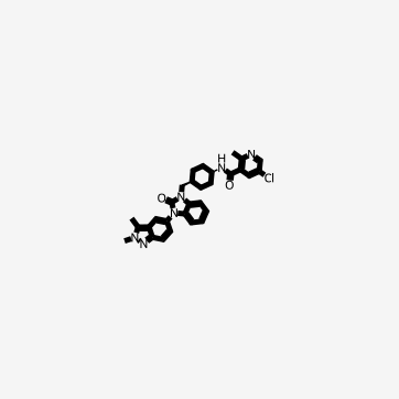 Cc1ncc(Cl)cc1C(=O)N[C@H]1CC[C@H](Cn2c(=O)n(-c3ccc4nn(C)c(C)c4c3)c3ccccc32)CC1